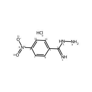 Cl.N=C(NN)c1ccc([N+](=O)[O-])cc1